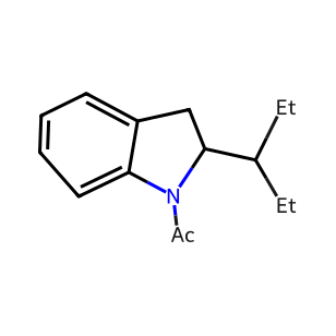 CCC(CC)C1Cc2ccccc2N1C(C)=O